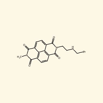 CC(C)CNCCN1C(=O)c2ccc3c4c(ccc(c24)C1=O)C(=O)N(C)C3=O